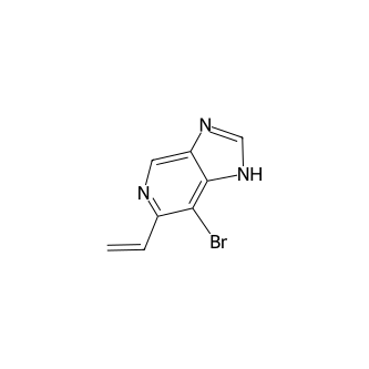 C=Cc1ncc2nc[nH]c2c1Br